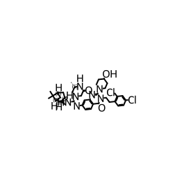 C[C@H]1[C@@H](NC(=Nc2ccc3c(=O)n(CCc4ccc(Cl)cc4Cl)c(N4CCC(O)CC4)nc3c2)N2CC(=O)N[C@@H](C)C2)C[C@H]2C[C@H]1C2(C)C